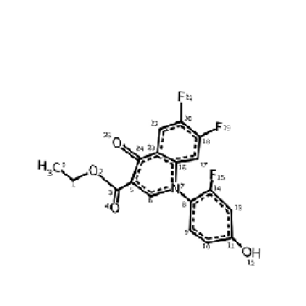 CCOC(=O)c1cn(-c2ccc(O)cc2F)c2cc(F)c(F)cc2c1=O